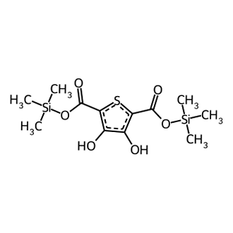 C[Si](C)(C)OC(=O)c1sc(C(=O)O[Si](C)(C)C)c(O)c1O